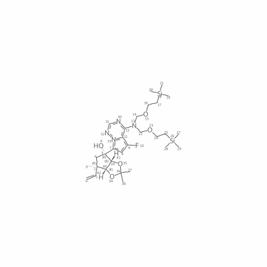 C=C[C@@]1(C)C[C@@](O)(c2cc(F)c3c(N(COCC[Si](C)(C)C)COCC[Si](C)(C)C)ncnn23)[C@@H]2OC(C)(C)O[C@@H]21